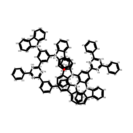 c1ccc(-c2nc(-c3cccc(-c4ccc5c(c4)c4ccccc4n5-c4c(-n5c6ccccc6c6ccccc65)cc(-c5nc(-c6ccccc6)nc(-c6ccccc6)n5)cc4-n4c5ccccc5c5ccccc54)c3)nc(-c3cc(-n4c5ccccc5c5ccccc54)cc(-n4c5ccccc5c5ccccc54)c3)n2)cc1